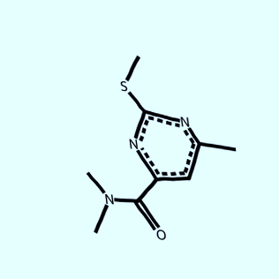 CSc1nc(C)cc(C(=O)N(C)C)n1